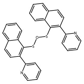 c1ccc(-c2ccc3ccccc3c2SOSc2c(-c3ccccn3)ccc3ccccc23)nc1